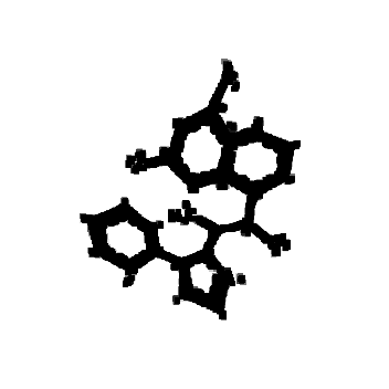 CC(c1ncnn1-c1ncccn1)N(C)c1ccnc2c(C(F)(F)F)cc(C(F)(F)F)cc12